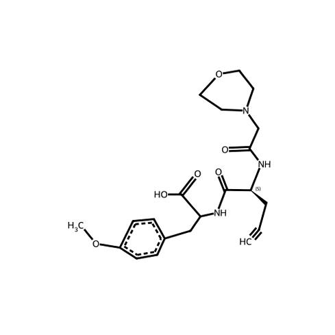 C#CC[C@H](NC(=O)CN1CCOCC1)C(=O)NC(Cc1ccc(OC)cc1)C(=O)O